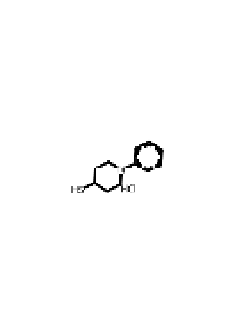 Cl.SC1CCN(c2ccccc2)CC1